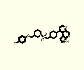 O=S(=O)(CC1CCC(c2ccnc3cnc4[nH]ccc4c23)CC1)N1CCCC(COc2ccc(Cl)cc2)C1